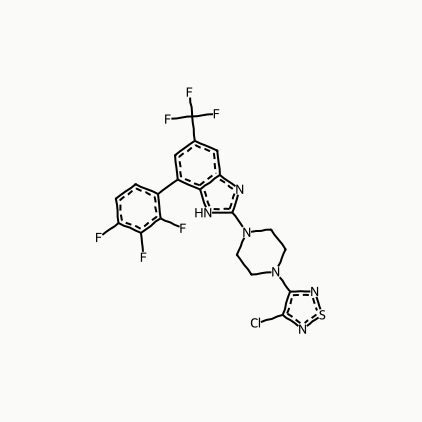 Fc1ccc(-c2cc(C(F)(F)F)cc3nc(N4CCN(c5nsnc5Cl)CC4)[nH]c23)c(F)c1F